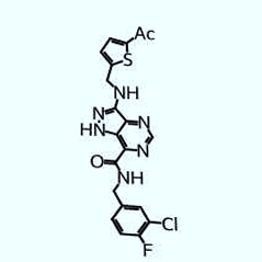 CC(=O)c1ccc(CNc2n[nH]c3c(C(=O)NCc4ccc(F)c(Cl)c4)ncnc23)s1